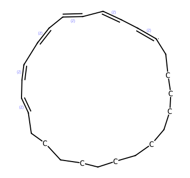 [C]1=C/C=C\C=C/C=C\C=C/C=C\CCCCCCCCCCCCC\1